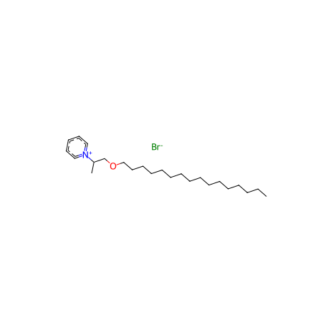 CCCCCCCCCCCCCCCCOCC(C)[n+]1ccccc1.[Br-]